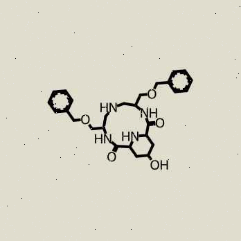 O=C1NC(COCc2ccccc2)CNCC(COCc2ccccc2)NC(=O)C2CC(O)CC1N2